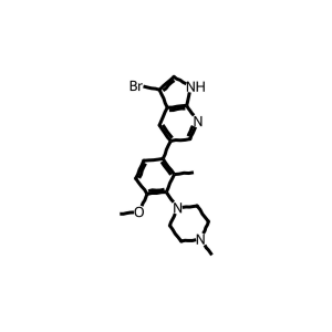 COc1ccc(-c2cnc3[nH]cc(Br)c3c2)c(C)c1N1CCN(C)CC1